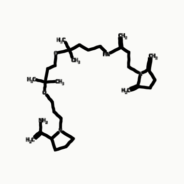 C=C(CCN1C(=C)CCC1=C)NCCCC(C)(C)OCCC(C)(C)OCCCN1CCCC1C(=C)N